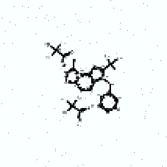 Cc1nnc2ccc3c(cc(C(F)(F)F)n3Cc3ccccc3)n12.O=C(O)C(F)(F)F.O=C(O)C(F)(F)F